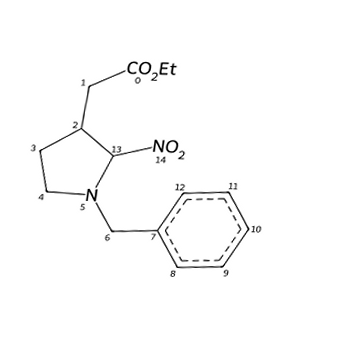 CCOC(=O)CC1CCN(Cc2ccccc2)C1[N+](=O)[O-]